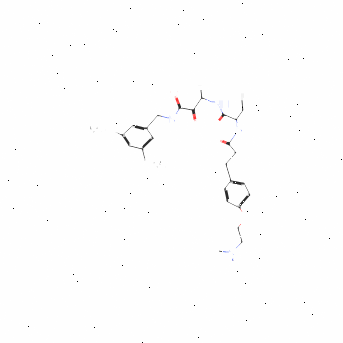 CCC(NC(=O)C(CC(C)C)NC(=O)CCc1ccc(OCCN(C)C)cc1)C(=O)C(=O)NCc1cc(OC)cc(OC)c1